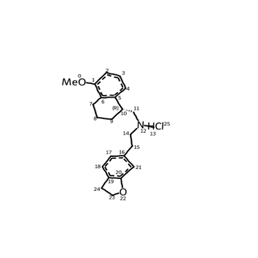 COc1cccc2c1CCC[C@H]2CN(C)CCc1ccc2c(c1)OCC2.Cl